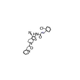 N#Cc1c(NC(=O)/C=C/c2ccccc2Cl)sc2c1CCN(C(=O)Cc1ccccn1)C2